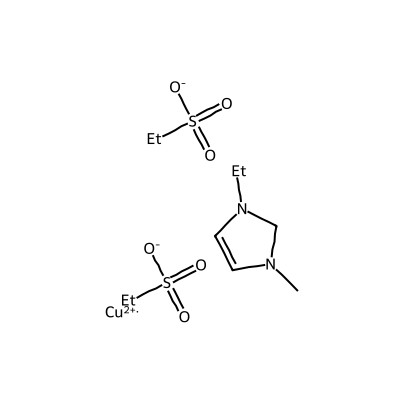 CCN1C=CN(C)C1.CCS(=O)(=O)[O-].CCS(=O)(=O)[O-].[Cu+2]